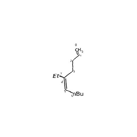 C=CCCC(=CCCCC)CC